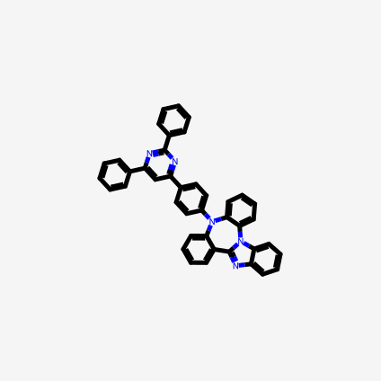 c1ccc(-c2cc(-c3ccc(N4c5ccccc5-c5nc6ccccc6n5-c5ccccc54)cc3)nc(-c3ccccc3)n2)cc1